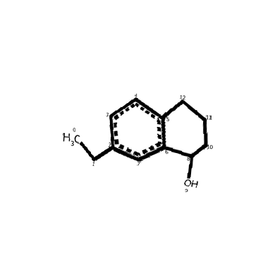 CCc1ccc2c(c1)C(O)CCC2